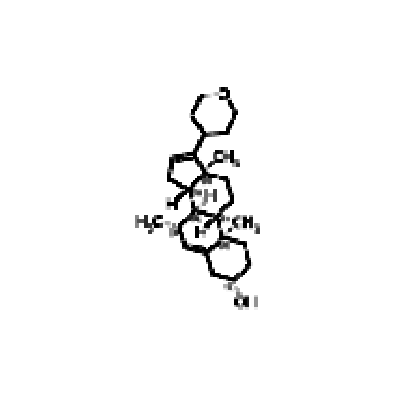 C[C@H]1C=C2C[C@@H](O)CC[C@]2(C)[C@H]2CC[C@]3(C)C(C4CCOCC4)=CC[C@H]3[C@H]12